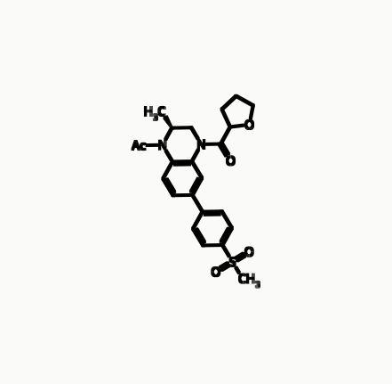 CC(=O)N1c2ccc(-c3ccc(S(C)(=O)=O)cc3)cc2N(C(=O)C2CCCO2)C[C@@H]1C